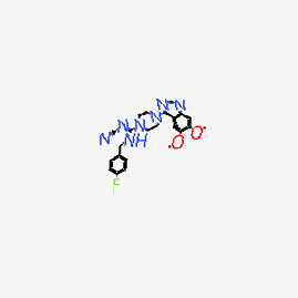 COc1cc2ncnc(N3CCN(/C(=N/C#N)NCc4ccc(F)cc4)CC3)c2cc1OC